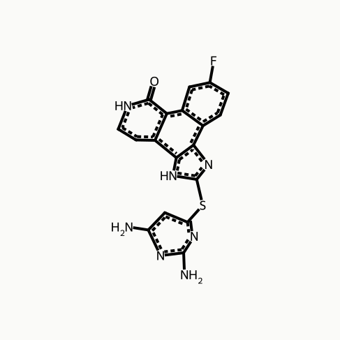 Nc1cc(Sc2nc3c4ccc(F)cc4c4c(=O)[nH]ccc4c3[nH]2)nc(N)n1